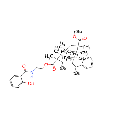 CCCCOC(=O)C(C)(CC(C)(C)C(C)(C)C(C)(CC(C)(C)C)C(=O)OCCNC(=O)c1ccccc1O)C(C)(C)C(C)(C)CC(c1ccccc1)C(C)(C)C